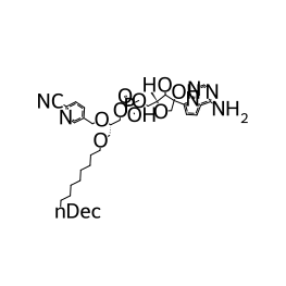 CCCCCCCCCCCCCCCCCCOC[C@@H](COP(=O)(O)OC[C@@]1(C)OC[C@](O)(c2ccc3c(N)ncnn23)[C@@H]1O)OCc1ccc(C#N)nc1